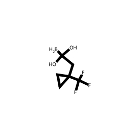 BC(O)(O)CC1(C(F)(F)F)CC1